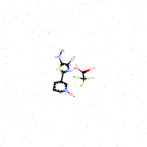 CCNc1sc(-c2ccc[n+]([O-])c2)nc1Cl.O=C(O)C(F)(F)F